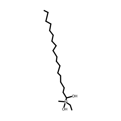 CCCCCCCCCCCCCCCCCC(O)[N+](C)(O)CC